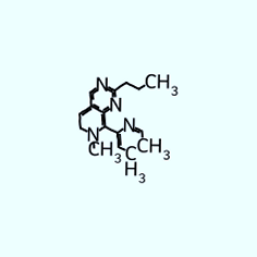 C/C=N\C(=C/C)C1=c2nc(CCC)ncc2=CCN1C